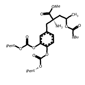 CCCCC(=O)OC(C)C[C@@](N)(Cc1ccc(OC(=O)O[C@@H](C)CCC)c(OC(=O)OC(C)CCC)c1)C(=O)OC